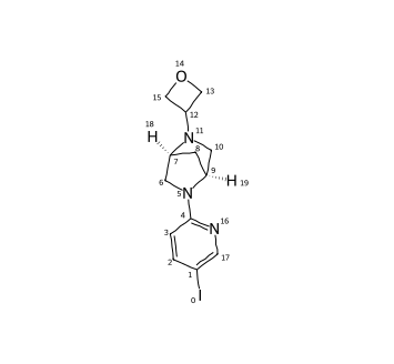 Ic1ccc(N2C[C@@H]3C[C@H]2CN3C2COC2)nc1